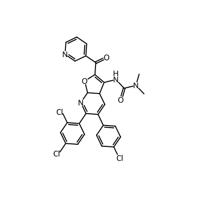 CN(C)C(=O)NC1=C(C(=O)c2cccnc2)OC2N=C(c3ccc(Cl)cc3Cl)C(c3ccc(Cl)cc3)=CC12